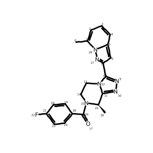 Cc1cccc2cc(-c3nnc4n3CCN(C(=O)c3ccc(F)cc3)[C@@H]4C)nn12